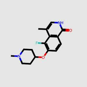 Cc1c[nH]c(=O)c2ccc(OC3CCN(C)CC3)c(F)c12